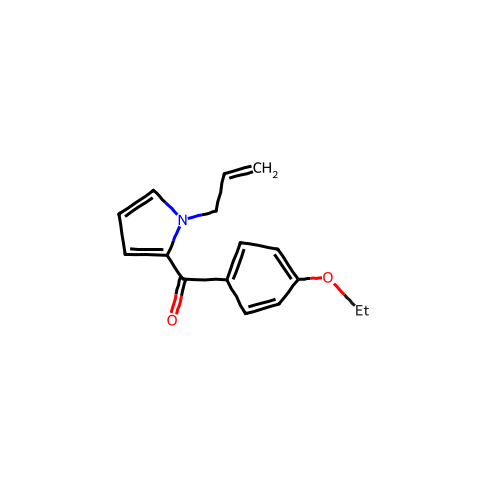 C=CCn1cccc1C(=O)c1ccc(OCC)cc1